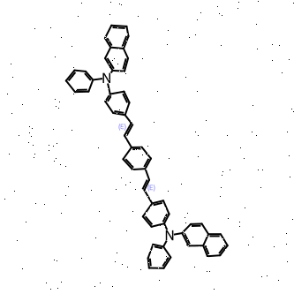 C(=C\c1ccc(N(c2ccccc2)c2ccc3ccccc3c2)cc1)/c1ccc(/C=C/c2ccc(N(c3ccccc3)c3ccc4ccccc4c3)cc2)cc1